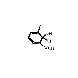 O=S(=O)(O)C1C=CC=C(Cl)C1(O)Cl